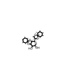 OC1C2OC3(CCCCC3)OC2C([C@H]2COC3(CCCCC3)O2)O[C@H]1O